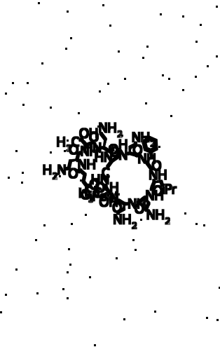 CCC[C@H](C)OC(=O)CCC(=O)N[C@@H](CCN)C(=O)N[C@H](C(=O)N[C@@H](CCN)C(=O)N[C@H]1CCNC(=O)[C@H](C(C)O)NC(=O)[C@H](CCN)NC(=O)[C@H](CCN)NC(=O)[C@H](CC(C)C)NC(=O)[C@@H](Cc2ccccc2)NC(=O)[C@H](CCN)NC1=O)C(C)O